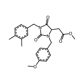 COC(=O)CC1C(=O)N(Cc2ccc(C)c(C)c2)C(=O)N1Cc1ccc(OC)cc1